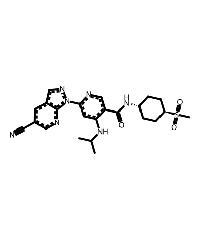 CC(C)Nc1cc(-n2ncc3cc(C#N)cnc32)ncc1C(=O)N[C@H]1CC[C@H](S(C)(=O)=O)CC1